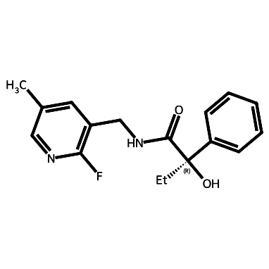 CC[C@](O)(C(=O)NCc1cc(C)cnc1F)c1ccccc1